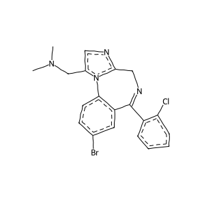 CN(C)Cc1cnc2n1-c1ccc(Br)cc1C(c1ccccc1Cl)=NC2